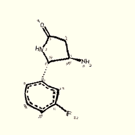 N[C@@H]1CC(=O)N[C@H]1c1cccc(F)c1